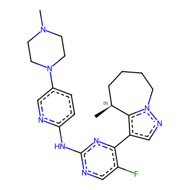 C[C@H]1CCCCn2ncc(-c3nc(Nc4ccc(N5CCN(C)CC5)cn4)ncc3F)c21